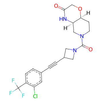 O=C1CO[C@H]2CCN(C(=O)N3CC(C#Cc4ccc(C(F)(F)F)c(Cl)c4)C3)C[C@H]2N1